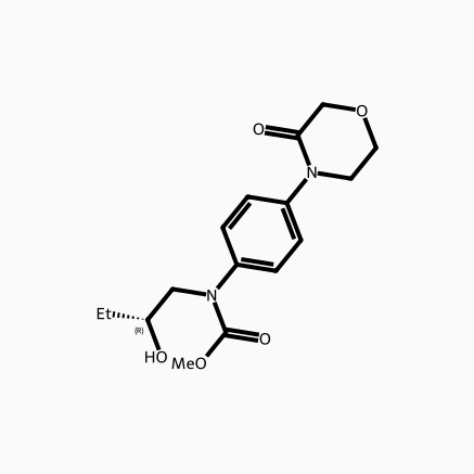 CC[C@@H](O)CN(C(=O)OC)c1ccc(N2CCOCC2=O)cc1